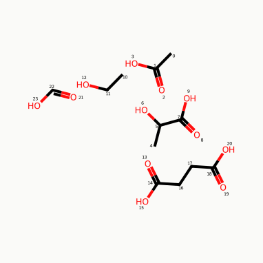 CC(=O)O.CC(O)C(=O)O.CCO.O=C(O)CCC(=O)O.O=CO